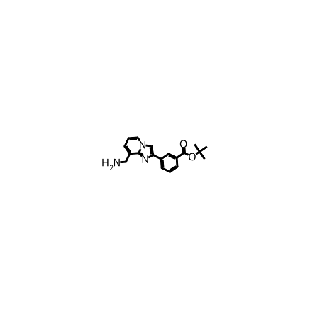 CC(C)(C)OC(=O)c1cccc(-c2cn3cccc(CN)c3n2)c1